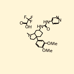 COc1ccc(C23CCC(NC(=O)Nc4ccnnc4)CC2N(C)CC3)cc1OC.O=C(O)C(F)(F)F